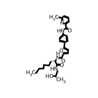 CCCCCCC[C@H](NC(=O)c1ccc(-c2ccc(NC(=O)c3cccc(C)n3)cc2)o1)C(=O)NC[C@@H](C)O